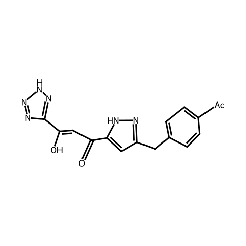 CC(=O)c1ccc(Cc2cc(C(=O)C=C(O)c3nn[nH]n3)[nH]n2)cc1